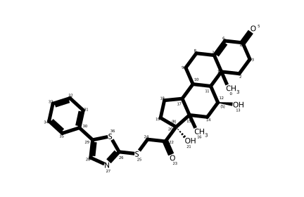 CC12CCC(=O)C=C1CCC1C2[C@@H](O)CC2(C)C1CC[C@]2(O)C(=O)CSc1ncc(-c2ccccc2)s1